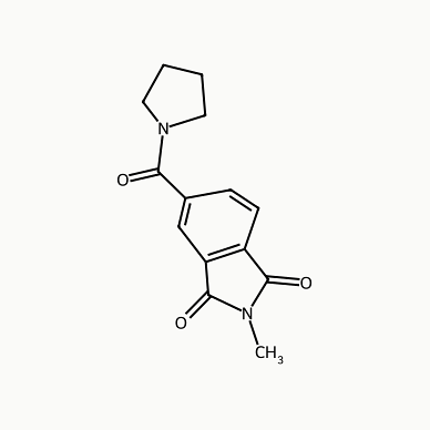 CN1C(=O)c2ccc(C(=O)N3CCCC3)cc2C1=O